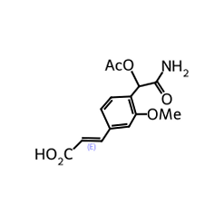 COc1cc(/C=C/C(=O)O)ccc1C(OC(C)=O)C(N)=O